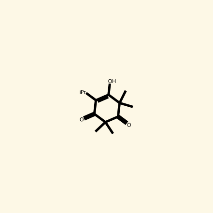 CC(C)C1=C(O)C(C)(C)C(=O)C(C)(C)C1=O